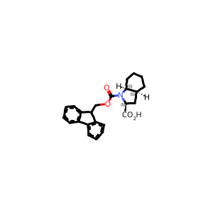 O=C(O)[C@@H]1C[C@@H]2CCCC[C@@H]2N1C(=O)OCC1c2ccccc2-c2ccccc21